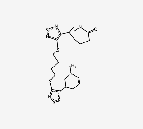 CN1C=CCC(c2nsnc2SCCCCSc2nsnc2C2CN3CC2CCC3=O)C1